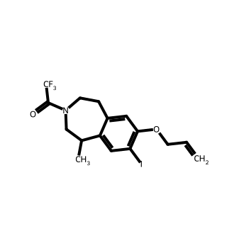 C=CCOc1cc2c(cc1I)C(C)CN(C(=O)C(F)(F)F)CC2